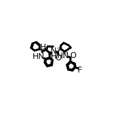 O=C(N[C@@H]1CCCC[C@@H]1C(=O)N1CC[C@@H]2[C@H](C3C=CC=CC3)Nc3ccccc3[C@@H]21)c1cccc(F)c1